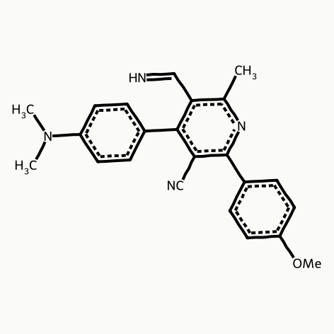 COc1ccc(-c2nc(C)c(C=N)c(-c3ccc(N(C)C)cc3)c2C#N)cc1